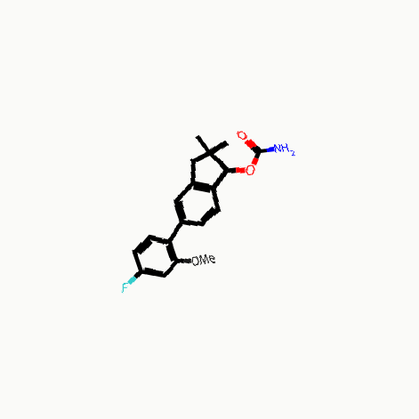 COc1cc(F)ccc1-c1ccc2c(c1)CC(C)(C)C2OC(N)=O